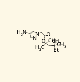 CCC(C)(C)CC(C)(C)OC(=O)Cn1cc(N)cn1